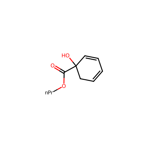 CCCOC(=O)C1(O)C=CC=CC1